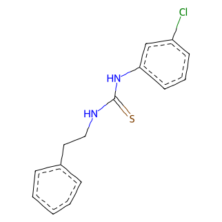 S=C(NCCc1ccccc1)Nc1cccc(Cl)c1